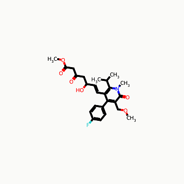 COCc1c(-c2ccc(F)cc2)c(/C=C/C(O)CC(=O)CC(=O)OC)c(C(C)C)n(C)c1=O